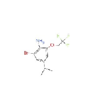 CC(C)c1cc(Br)c(N)c(OCC(F)(F)F)c1